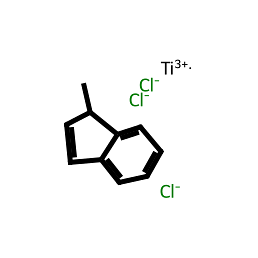 CC1C=Cc2ccccc21.[Cl-].[Cl-].[Cl-].[Ti+3]